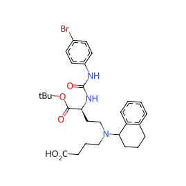 CC(C)(C)OC(=O)[C@H](CCN(CCCC(=O)O)C1CCCc2ccccc21)NC(=O)Nc1ccc(Br)cc1